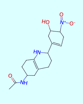 CC(=O)NC1CCC2=C(CCC(C3=CCC([N+](=O)[O-])C(O)C3)N2)C1